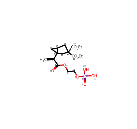 C=C(C(=O)OCCOP(=O)(O)O)C12CC1CC(C(=O)OCC)(C(=O)OCC)C2